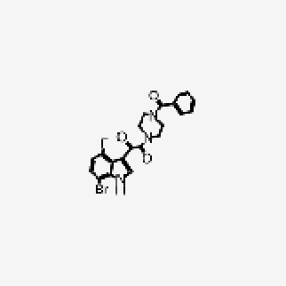 O=C(C(=O)N1CCN(C(=O)c2ccccc2)CC1)c1c[nH]c2c(Br)ccc(F)c12